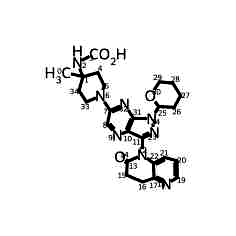 CC1(NC(=O)O)CCN(c2cnc3c(N4C(=O)CCc5ncccc54)nn(C4CCCCO4)c3n2)CC1